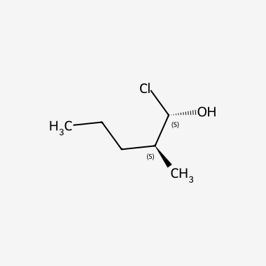 CCC[C@H](C)[C@@H](O)Cl